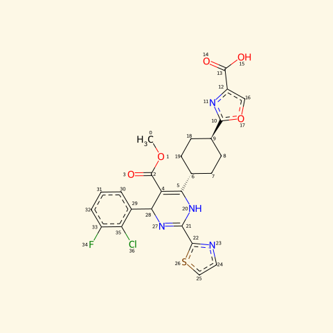 COC(=O)C1=C([C@H]2CC[C@H](c3nc(C(=O)O)co3)CC2)NC(c2nccs2)=NC1c1cccc(F)c1Cl